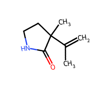 C=C(C)C1(C)CCNC1=O